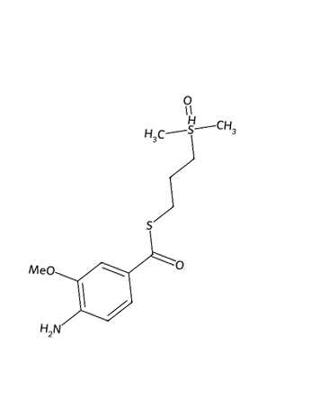 COc1cc(C(=O)SCCC[SH](C)(C)=O)ccc1N